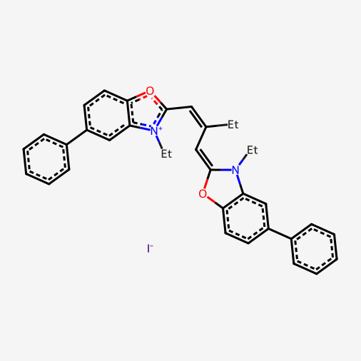 CCC(=Cc1oc2ccc(-c3ccccc3)cc2[n+]1CC)C=C1Oc2ccc(-c3ccccc3)cc2N1CC.[I-]